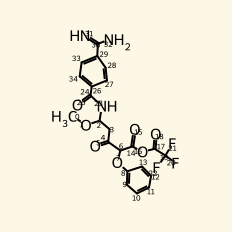 COC(CC(=O)C(Oc1ccccc1)C(=O)OC(=O)C(F)(F)F)NC(=O)c1ccc(C(=N)N)cc1